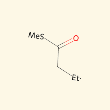 C[CH]CC(=O)SC